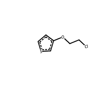 ClCCOc1ccsc1